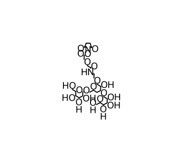 O=C(COCC(=O)ON1C(=O)CCC1=O)NCCOC1OC(CO[C@H]2OC(CO)[C@@H](O)C(O)C2O)CC(O[C@H]2OC(CO)[C@@H](O)C(O)C2O)C1O